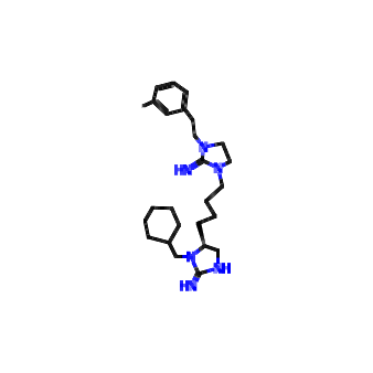 Cc1cccc(CCN2CCN(CCCC[C@H]3CNC(=N)N3CC3CCCCC3)C2=N)c1